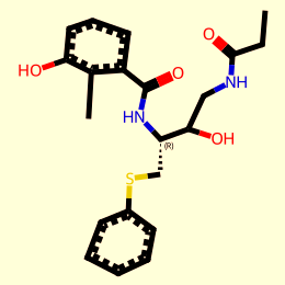 CCC(=O)NCC(O)[C@H](CSc1ccccc1)NC(=O)c1cccc(O)c1C